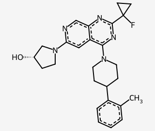 Cc1ccccc1C1CCN(c2nc(C3(F)CC3)nc3cnc(N4CC[C@H](O)C4)cc23)CC1